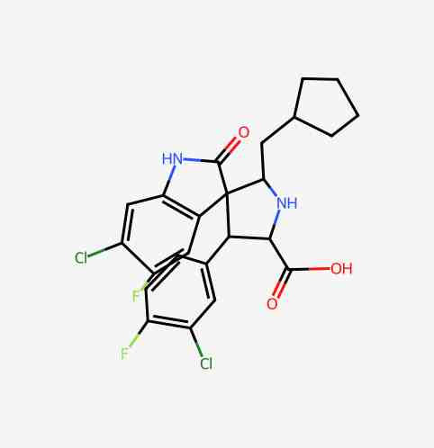 O=C(O)C1NC(CC2CCCC2)C2(C(=O)Nc3cc(Cl)c(F)cc32)C1c1ccc(F)c(Cl)c1